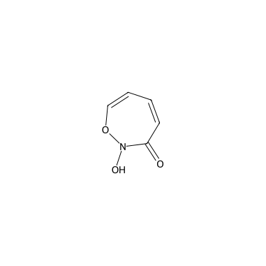 O=C1C=CC=CON1O